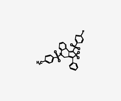 Cc1ccc(S(=O)(=O)N2CC3=C(c4ccccc4)S(=O)(=O)C(S(=O)(=O)c4ccc(F)cc4)=C3c3ccccc32)cc1